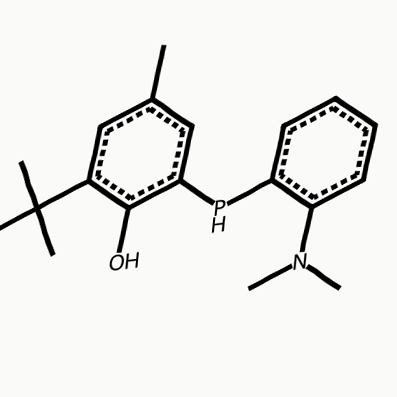 Cc1cc(Pc2ccccc2N(C)C)c(O)c(C(C)(C)C)c1